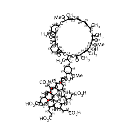 CO[C@H]1C[C@@H]2CC[C@@H](C)[C@@](O)(O2)C(=O)C(=O)N2CCCC[C@H]2C(=O)O[C@H]([C@H](C)C[C@@H]2CC[C@@H](OCNC(=O)CCC(=O)NC(CCC(=O)O)C(=O)NC(CCC(=O)O)C(=O)NC(CCC(=O)O)C(=O)NC(CCC(=O)O)C(=O)NC(CCC(=O)O)C(=O)NC(CCC(=O)O)C(=O)NCC(=O)O)[C@H](OC)C2)CC(=O)[C@H](C)/C=C(\C)[C@@H](O)[C@@H](OC)C(=O)[C@H](C)C[C@H](C)/C=C/C=C/C=C/1C